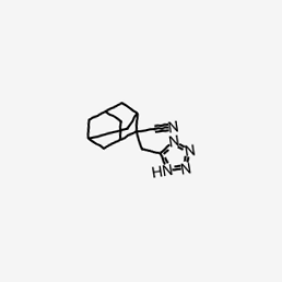 N#CC1(Cc2nnn[nH]2)C2CC3CC(C2)CC1C3